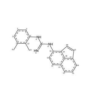 Cc1cccc(NC(=N)Nc2ccc3cccc4c3c2C=C4)c1C